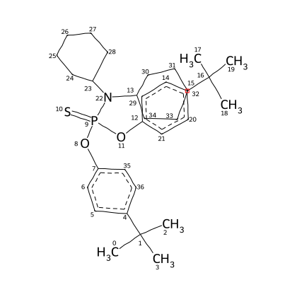 CC(C)(C)c1ccc(OP(=S)(Oc2ccc(C(C)(C)C)cc2)N(C2CCCCC2)C2CCCCC2)cc1